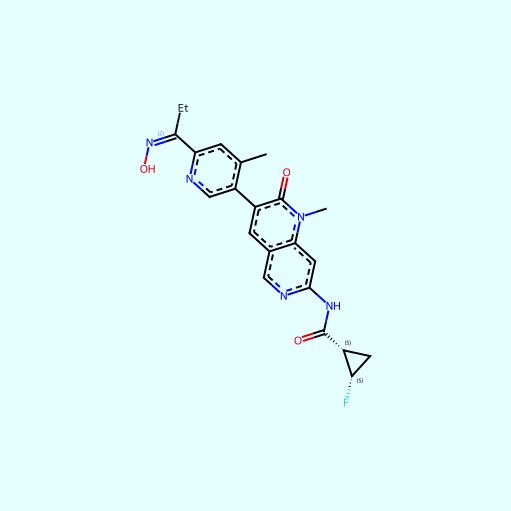 CC/C(=N/O)c1cc(C)c(-c2cc3cnc(NC(=O)[C@@H]4C[C@@H]4F)cc3n(C)c2=O)cn1